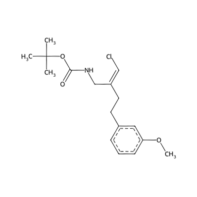 COc1cccc(CC/C(=C/Cl)CNC(=O)OC(C)(C)C)c1